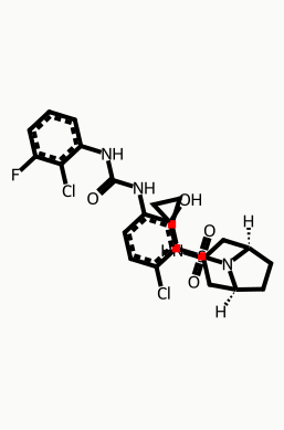 O=C(Nc1ccc(Cl)c(S(=O)(=O)N2[C@@H]3CC[C@H]2CC(NC2CC2)C3)c1O)Nc1cccc(F)c1Cl